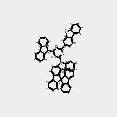 c1ccc2c(c1)-c1ccccc1C21c2ccccc2-c2ccc3c(c21)c1ccccc1n3-c1nc(-c2ccc3c(c2)oc2ccccc23)nc(-n2c3ccccc3c3ccccc32)n1